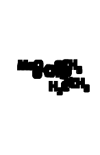 COC(=O)c1ccc(N(CCN(C)C)S(C)(=O)=O)cc1